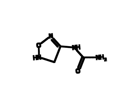 NC(=O)NC1=NONC1